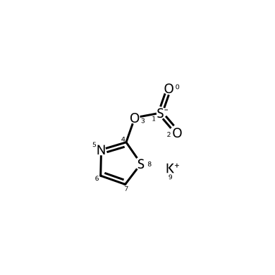 O=[S-](=O)Oc1nccs1.[K+]